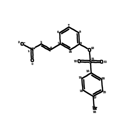 O=[N+]([O-])C=Cc1cccc(OS(=O)(=O)c2ccc(Br)cc2)c1